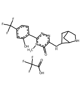 Cn1c(-c2ccc(C(F)(F)F)cc2O)nnc(NC2CC3CNC2C3)c1=O.O=C(O)C(F)(F)F